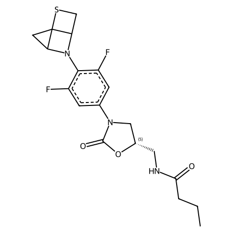 CCCC(=O)NC[C@H]1CN(c2cc(F)c(N3C4CSC45CC35)c(F)c2)C(=O)O1